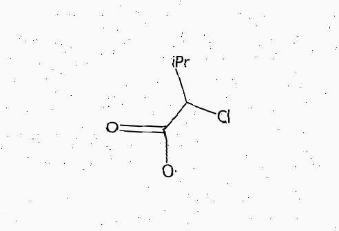 CC(C)C(Cl)C([O])=O